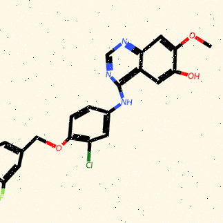 COc1cc2ncnc(Nc3ccc(OCc4cccc(F)c4)c(Cl)c3)c2cc1O